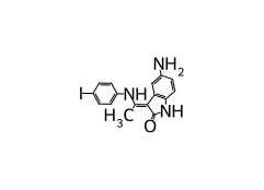 CC(Nc1ccc(I)cc1)=C1C(=O)Nc2ccc(N)cc21